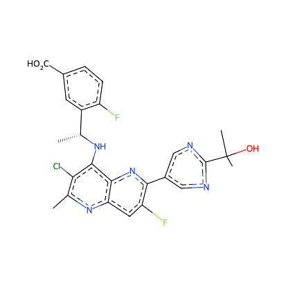 Cc1nc2cc(F)c(-c3cnc(C(C)(C)O)nc3)nc2c(N[C@H](C)c2cc(C(=O)O)ccc2F)c1Cl